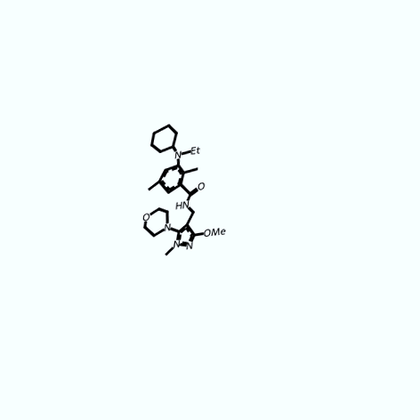 CCN(c1cc(C)cc(C(=O)NCc2c(OC)nn(C)c2N2CCOCC2)c1C)C1CCCCC1